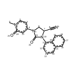 Cn1ccc(N2CC(C#N)N(c3cncc4ccccc34)C2=O)cc1=O